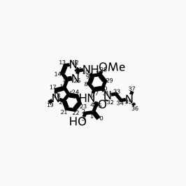 C=C(CO)C(=O)Nc1cc(Nc2nccc(-c3cn(C)c4ccccc34)n2)c(OC)cc1N(C)CCN(C)C